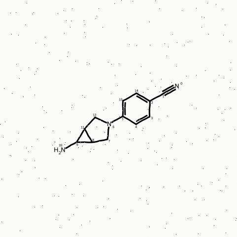 N#Cc1ccc(N2CC3C(N)C3C2)cc1